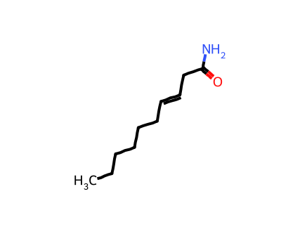 CCCCCC/C=C/CC(N)=O